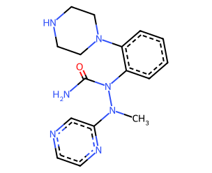 CN(c1cnccn1)N(C(N)=O)c1ccccc1N1CCNCC1